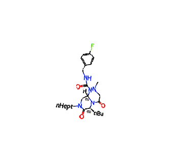 CCCCCCCN1C[C@H]2N(C(=O)CN(C)N2C(=O)NCc2ccc(F)cc2)[C@@H](CCCC)C1=O